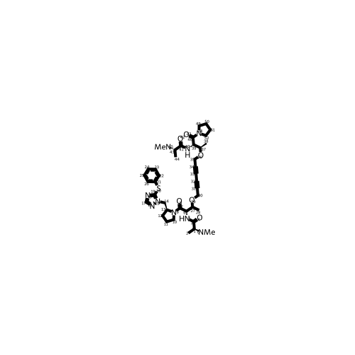 CN[C@@H](C)C(=O)N[C@H](C(=O)N1CCC[C@H]1Cn1ncnc1Sc1ccccc1)C(C)OCC#CC#CCO[C@H](C)[C@H](NC(=O)[C@H](C)NC)C(=O)N1CCCC1